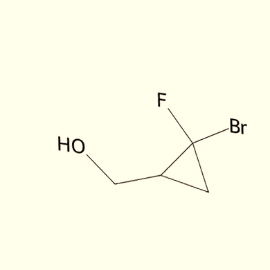 OCC1CC1(F)Br